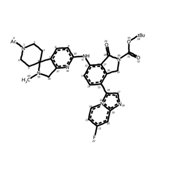 CC(=O)N1CCC2(CC1)c1ccc(Nc3ccc(-c4cnc5cc(F)ccn45)c4c3C(=O)N(C(=O)OC(C)(C)C)C4)nc1CN2C